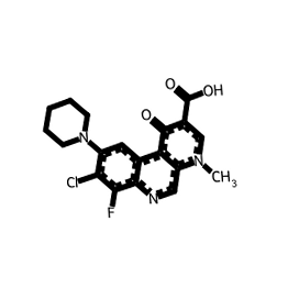 Cn1cc(C(=O)O)c(=O)c2c3cc(N4CCCCC4)c(Cl)c(F)c3ncc21